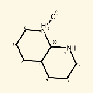 [O-][NH+]1CCCC2CCCNC21